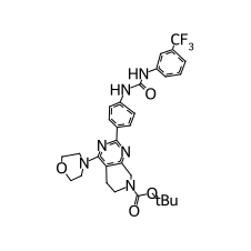 CC(C)(C)OC(=O)N1CCc2c(nc(-c3ccc(NC(=O)Nc4cccc(C(F)(F)F)c4)cc3)nc2N2CCOCC2)C1